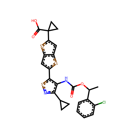 CC(OC(=O)Nc1c(C2CC2)nsc1-c1cc2sc(C3(C(=O)O)CC3)cc2s1)c1ccccc1Cl